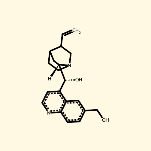 C=CC1CN2CCC1C[C@H]2[C@H](O)c1ccnc2ccc(CO)cc12